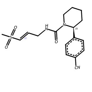 CS(=O)(=O)/C=C/CNC(=O)N1CCCC[C@H]1c1ccc(C#N)cc1